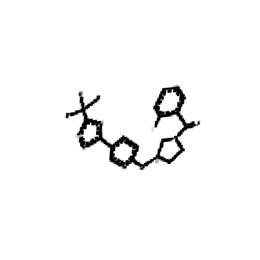 O=C(c1ccccc1F)N1CC[C@@H](Oc2ccc(-c3noc(C(F)(F)F)n3)cn2)C1